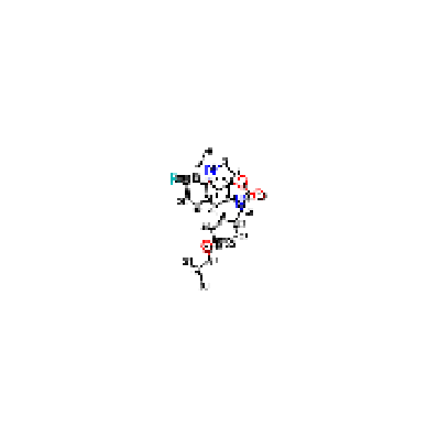 CCN1CCC2(CC1)OC(=O)N(Cc1ccc(OCC(C)C)cc1)C2Cc1ccc(F)cc1